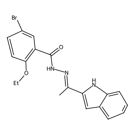 CCOc1ccc(Br)cc1C(=O)N/N=C(\C)c1cc2ccccc2[nH]1